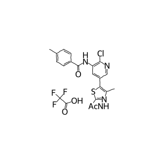 CC(=O)Nc1nc(C)c(-c2cnc(Cl)c(NC(=O)c3ccc(C)cc3)c2)s1.O=C(O)C(F)(F)F